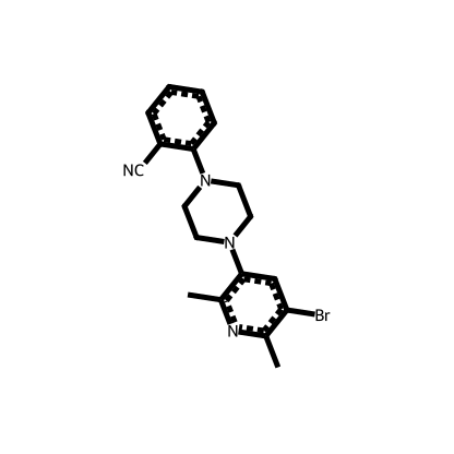 Cc1nc(C)c(N2CCN(c3ccccc3C#N)CC2)cc1Br